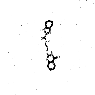 O=C(NCCSc1nc2ccccc2c(=O)[nH]1)c1nc2ccccc2[nH]1